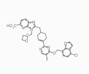 O=C(O)c1ccc2nc(CC3CC=C(c4ncc(F)c(OCc5ccc(Cl)c6ccoc56)n4)CC3)n(C[C@@H]3CCO3)c2n1